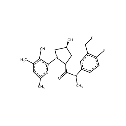 Cc1cc(C)c(C#N)c(N2C[C@@H](O)C[C@H]2C(=O)N(C)c2ccc(F)c(CF)c2)n1